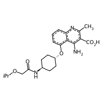 Cc1nc2cccc(O[C@H]3CC[C@H](NC(=O)COC(C)C)CC3)c2c(N)c1C(=O)O